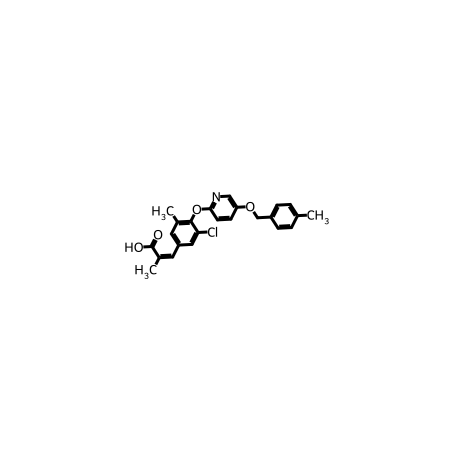 CC(=Cc1cc(C)c(Oc2ccc(OCc3ccc(C)cc3)cn2)c(Cl)c1)C(=O)O